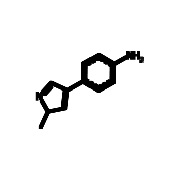 CC1C=C(c2ccc(N)cc2)C=N1